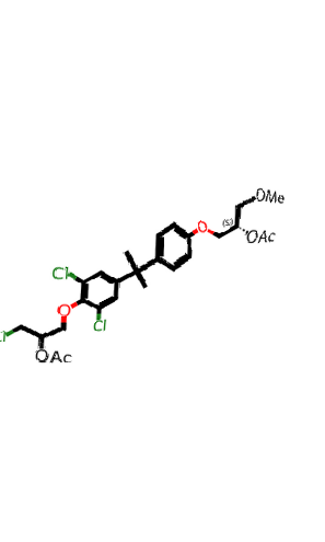 COC[C@@H](COc1ccc(C(C)(C)c2cc(Cl)c(OCC(CCl)OC(C)=O)c(Cl)c2)cc1)OC(C)=O